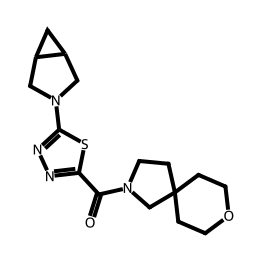 O=C(c1nnc(N2CC3CC3C2)s1)N1CCC2(CCOCC2)C1